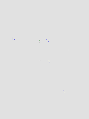 Fc1cccc(F)c1-c1c(-n2c3ccccc3c3cc(-c4cccnc4-c4ccccc4)ccc32)cc(C(F)(F)F)cc1-n1c2ccccc2c2cc(-c3cccnc3-c3ccccc3)ccc21